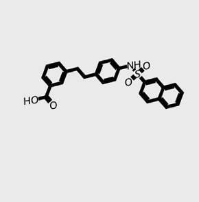 O=C(O)c1cccc(CCc2ccc(NS(=O)(=O)c3ccc4ccccc4c3)cc2)c1